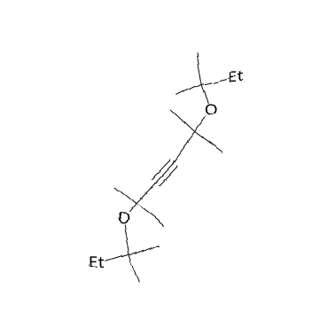 CCC(C)(C)OC(C)(C)C#CC(C)(C)OC(C)(C)CC